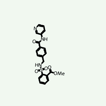 COC(=O)c1ccccc1S(=O)(=O)NCc1ccc(C(=O)Nc2cccnc2)cc1